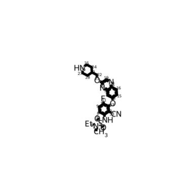 CCN(C)S(=O)(=O)Nc1ccc(F)c(Oc2ccc3ncc(OCC4CCNCC4)nc3c2)c1C#N